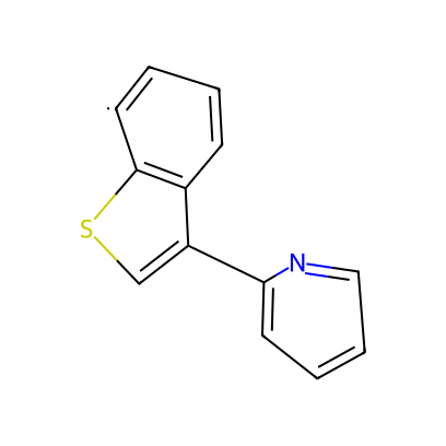 [c]1cccc2c(-c3ccccn3)csc12